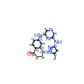 Cc1cc(Nc2cncc(Nc3ccc4c(c3)CCCC4=O)n2)n[nH]1